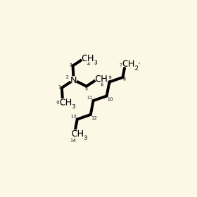 CCN(CC)CC.[CH2]CCCCCCC